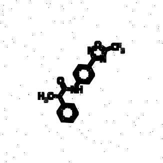 CC(C(=O)Nc1ccc(-c2noc(C(F)(F)F)n2)cc1)c1ccccc1